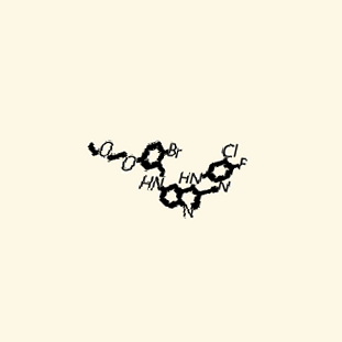 CCOCCOc1ccc(Br)c(CNc2ccc3ncc(C#N)c(Nc4ccc(F)c(Cl)c4)c3c2)c1